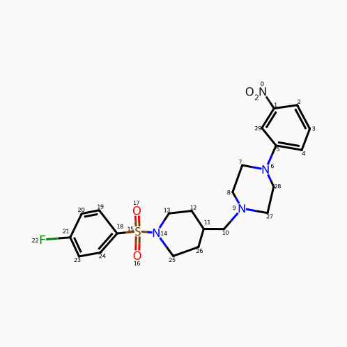 O=[N+]([O-])c1cccc(N2CCN(CC3CCN(S(=O)(=O)c4ccc(F)cc4)CC3)CC2)c1